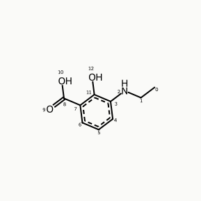 CCNc1cccc(C(=O)O)c1O